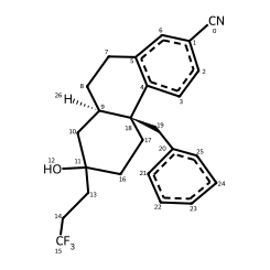 N#Cc1ccc2c(c1)CC[C@@H]1CC(O)(CCC(F)(F)F)CC[C@@]21Cc1ccccc1